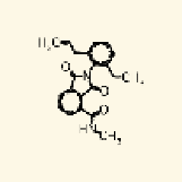 C=CCc1cccc(CC)c1N1C(=O)c2cccc(C(=O)NC)c2C1=O